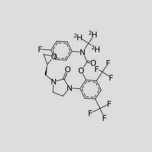 [2H]C([2H])([2H])N(C(=O)Oc1c(N2CCN(C[C@H]3CO3)C2=O)cc(C(F)(F)F)cc1C(F)(F)F)c1ccc(F)cc1